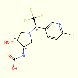 O=C(O)N[C@@H]1CN([C@H](c2ccc(Cl)nc2)C(F)(F)F)C[C@H]1O